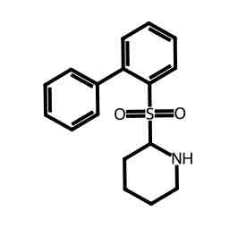 O=S(=O)(c1ccccc1-c1ccccc1)C1CCCCN1